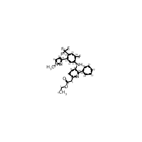 CCOC(=O)Cc1ccc(Nc2cc(-c3ccn(C)n3)c(C(F)(F)F)cc2F)c(-c2ccccc2)n1